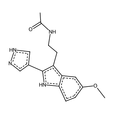 COc1ccc2[nH]c(-c3cn[nH]c3)c(CCNC(C)=O)c2c1